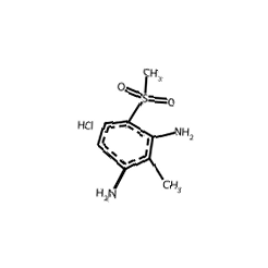 Cc1c(N)ccc(S(C)(=O)=O)c1N.Cl